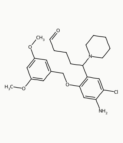 COc1cc(COc2cc(N)c(Cl)cc2C(CCCC=O)N2CCCCC2)cc(OC)c1